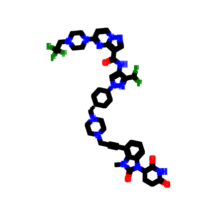 Cn1c(=O)n(C2CCC(=O)NC2=O)c2cccc(C#CCN3CCN(C[C@H]4CC[C@H](n5cc(NC(=O)c6cnn7ccc(N8CCN(CC(F)(F)F)CC8)nc67)c(C(F)F)n5)CC4)CC3)c21